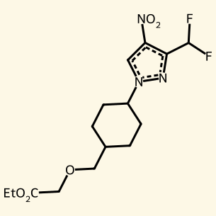 CCOC(=O)COCC1CCC(n2cc([N+](=O)[O-])c(C(F)F)n2)CC1